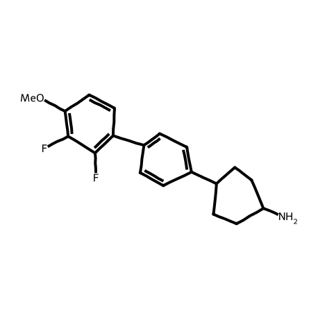 COc1ccc(-c2ccc(C3CCC(N)CC3)cc2)c(F)c1F